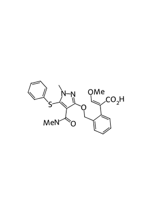 CNC(=O)c1c(OCc2ccccc2C(=COC)C(=O)O)nn(C)c1Sc1ccccc1